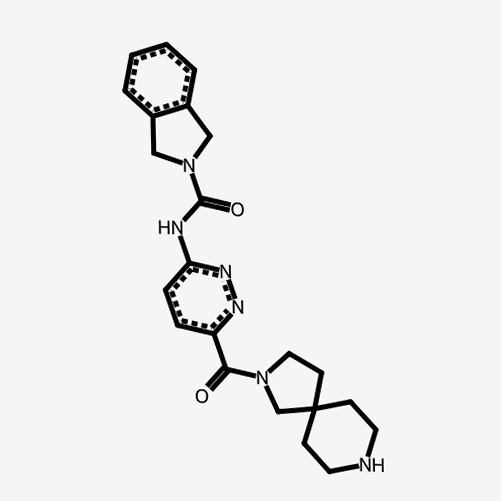 O=C(Nc1ccc(C(=O)N2CCC3(CCNCC3)C2)nn1)N1Cc2ccccc2C1